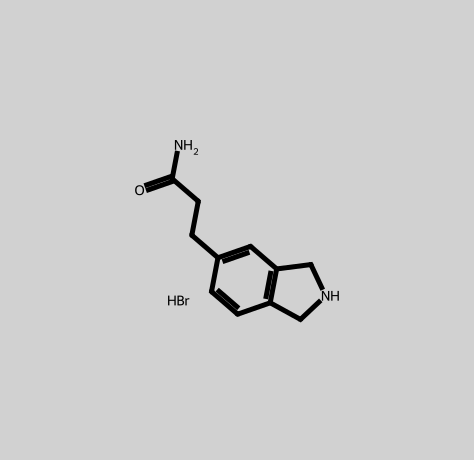 Br.NC(=O)CCc1ccc2c(c1)CNC2